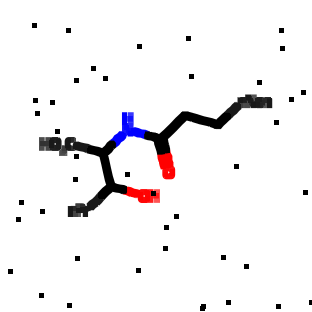 CCCCCCCCCCCC(=O)NC(C(=O)O)C(O)CCC